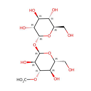 O=C(O)O[C@@H]1[C@@H](O)[C@@H](O[C@H]2O[C@H](CO)[C@@H](O)[C@H](O)[C@H]2O)O[C@H](CO)[C@H]1O